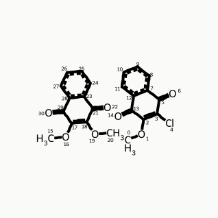 COC1=C(Cl)C(=O)c2ccccc2C1=O.COC1=C(OC)C(=O)c2ccccc2C1=O